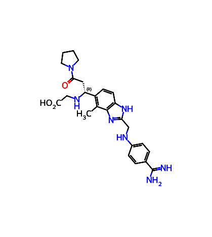 Cc1c([C@@H](CC(=O)N2CCCC2)NCC(=O)O)ccc2[nH]c(CNc3ccc(C(=N)N)cc3)nc12